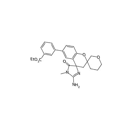 CCOC(=O)c1cccc(-c2ccc3c(c2)C2(CC4(CCCOC4)O3)N=C(N)N(C)C2=O)c1